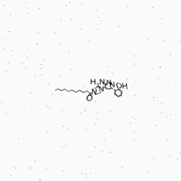 CCCCCCCCCCC(=O)N1CCN(c2cc(-c3ccccc3O)nnc2N)CC1